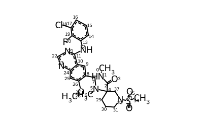 CNC(=O)C1(N(C)Cc2cc3c(Nc4cccc(Cl)c4F)ncnc3cc2OC)CCCN(S(C)(=O)=O)C1